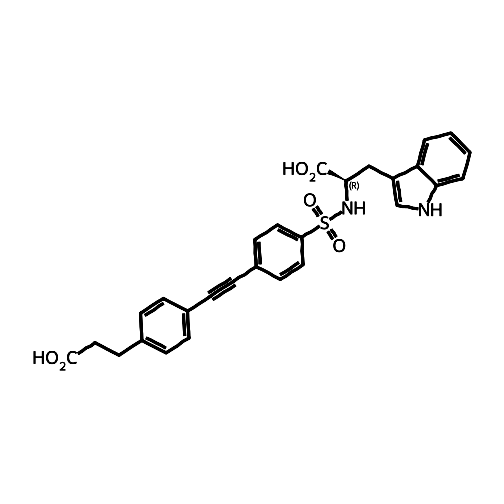 O=C(O)CCc1ccc(C#Cc2ccc(S(=O)(=O)N[C@H](Cc3c[nH]c4ccccc34)C(=O)O)cc2)cc1